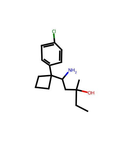 CCC(C)(O)CC(N)C1(c2ccc(Cl)cc2)CCC1